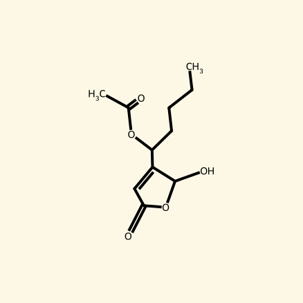 CCCCC(OC(C)=O)C1=CC(=O)OC1O